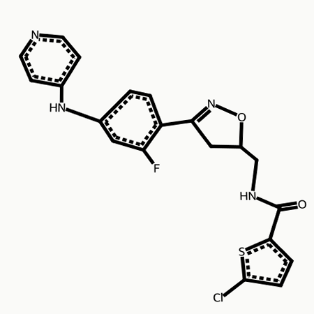 O=C(NCC1CC(c2ccc(Nc3ccncc3)cc2F)=NO1)c1ccc(Cl)s1